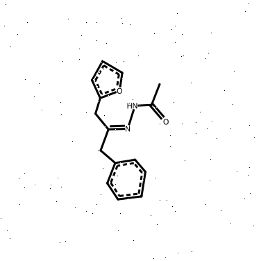 CC(=O)NN=C([CH]c1ccccc1)Cc1ccco1